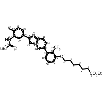 CCOC(=O)CCCCCCOc1cccc(-c2ccc3nc(-c4ccc(C)c(NC(=O)C(C)(C)C)c4)cn3n2)c1C(F)(F)F